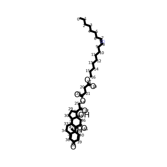 CCCCCCC/C=C\CCCCCCCCOC(=O)CCC(=O)OCC(=O)C1CCC2C3CCC4=CC(=O)C=CC4(C)[C@H]3C(=O)CC12O